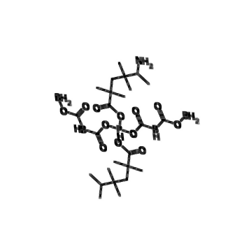 BOC(=O)BC(=O)O[PH](OC(=O)BC(=O)OB)(OC(=O)C(C)(C)CC(C)(C)C(C)C)OC(=O)C(C)(C)CC(C)(C)C(C)N